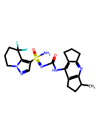 CC1CCc2c1nc1c(c2NC(=O)N=S(N)(=O)c2cnn3c2C(F)(F)CCC3)CCC1